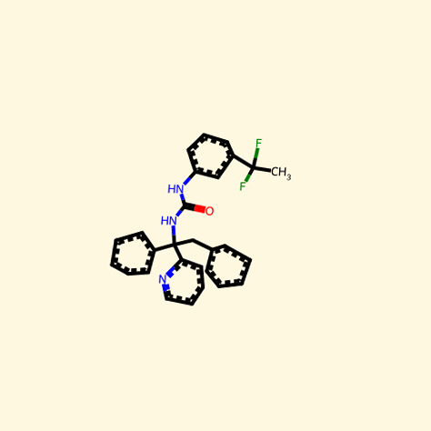 CC(F)(F)c1cccc(NC(=O)NC(Cc2ccccc2)(c2ccccc2)c2ccccn2)c1